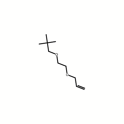 C=CCOCCOCC(C)(C)C